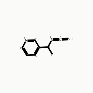 CC(N=C=S)c1cccnc1